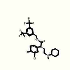 CN(CC[C@H](C(=O)NCc1cc(C(F)(F)F)cc(C(F)(F)F)c1)c1ccc(Cl)c(Cl)c1)C1CCCCC1